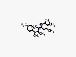 C=CC(=C)N/C(CCC)=C(\C)C(=C)C(C)C1=CCC(C)CC1